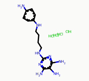 Cl.Cl.Cl.Cl.Nc1ccc(NCCCCNc2nc(N)c(N)c(N)n2)cc1